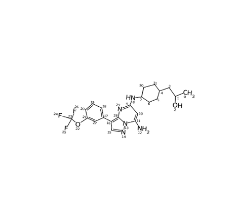 CC(O)CC1CCC(Nc2cc(N)n3ncc(-c4cccc(OC(F)(F)F)c4)c3n2)CC1